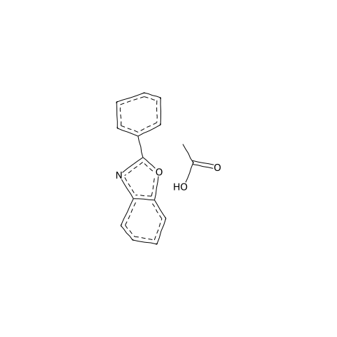 CC(=O)O.c1ccc(-c2nc3ccccc3o2)cc1